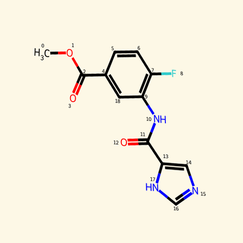 COC(=O)c1ccc(F)c(NC(=O)c2cnc[nH]2)c1